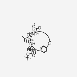 COC(=O)[C@@H]1CCCCCOc2ccc(cc2)C[C@H](NC(=O)OC(C)(C)C)C(=O)N[C@@H](CC(C)C)C(=O)N1